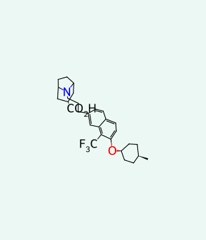 C[C@H]1CC[C@@H](Oc2ccc3ccc(CCCN4C5CCC4CC(C(=O)O)C5)cc3c2C(F)(F)F)CC1